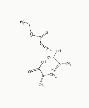 C=C(C)C(=O)O.C=C(C)C(=O)O.C=CC(=O)OCC